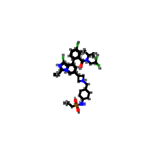 CCS(=O)(=O)NC1CCC(CN2CC(c3cc(-c4ccc(F)cc4C(=O)N(CC(F)F)C(C)C)c4c(F)nc(C)n4c3)C2)CC1